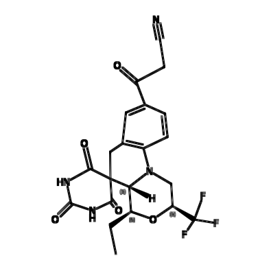 CC[C@@H]1O[C@H](C(F)(F)F)CN2c3ccc(C(=O)CC#N)cc3CC3(C(=O)NC(=O)NC3=O)[C@@H]12